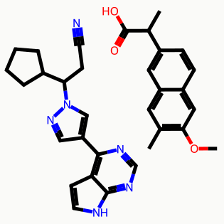 COc1cc2ccc(C(C)C(=O)O)cc2cc1C.N#CCC(C1CCCC1)n1cc(-c2ncnc3[nH]ccc23)cn1